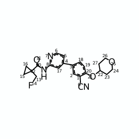 N#Cc1cc(-c2ccnc(NC(=O)C3(CF)CC3)c2)ccc1OC1CCOCC1